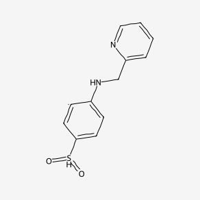 O=[SH](=O)c1c[c]c(NCc2ccccn2)cc1